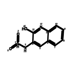 O=[SH](=O)Nc1cc2ccccc2nc1O